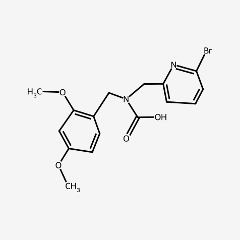 COc1ccc(CN(Cc2cccc(Br)n2)C(=O)O)c(OC)c1